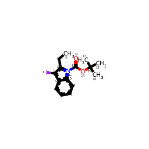 CCc1c(I)c2ccccc2n1C(=O)OC(C)(C)C